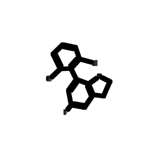 Fc1cc2c(c(-c3c(Cl)cccc3Cl)c1)O[CH]C2